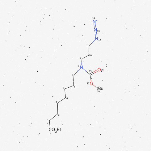 CCOC(=O)CCCCCCCN(CCCN=[N+]=[N-])C(=O)OC(C)(C)C